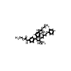 CCOC(=O)Nc1ccc(C(CC(C)NC[C@H](O)COc2ccccc2)c2ccc(NC(=O)OCC)cc2)cc1.Cl